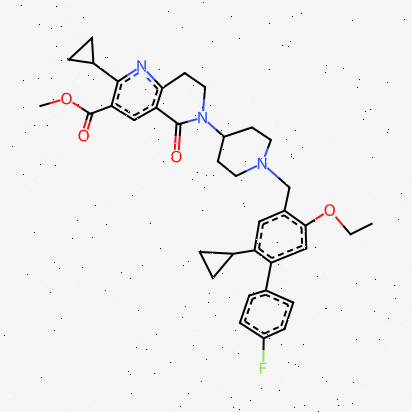 CCOc1cc(-c2ccc(F)cc2)c(C2CC2)cc1CN1CCC(N2CCc3nc(C4CC4)c(C(=O)OC)cc3C2=O)CC1